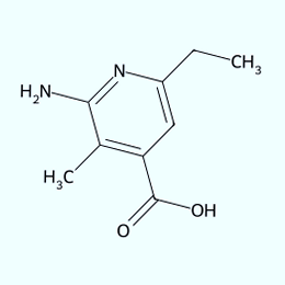 CCc1cc(C(=O)O)c(C)c(N)n1